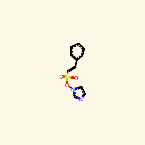 O=S(=O)(C=Cc1ccccc1)On1ccnc1